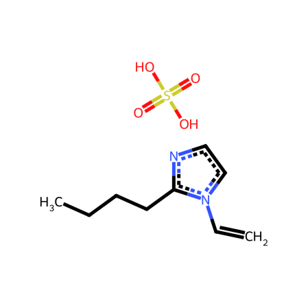 C=Cn1ccnc1CCCC.O=S(=O)(O)O